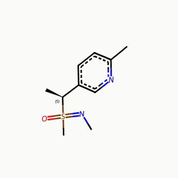 CN=S(C)(=O)[C@@H](C)c1ccc(C)nc1